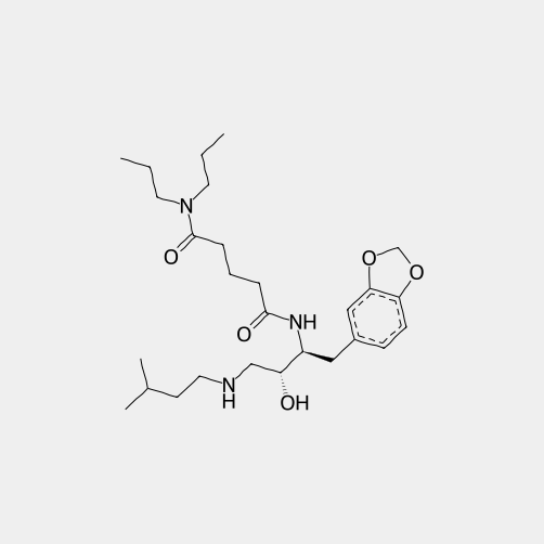 CCCN(CCC)C(=O)CCCC(=O)N[C@@H](Cc1ccc2c(c1)OCO2)[C@H](O)CNCCC(C)C